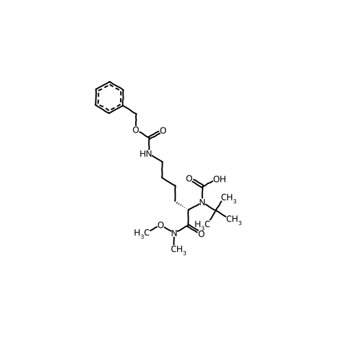 CON(C)C(=O)[C@H](CCCCNC(=O)OCc1ccccc1)N(C(=O)O)C(C)(C)C